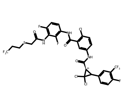 O=C(CSCCC(F)(F)F)Nc1c(F)ccc(NC(=O)c2cc(NC(=O)[C@H]3C(c4ccc(F)c(C(F)(F)F)c4)C3(Cl)Cl)ccc2Cl)c1F